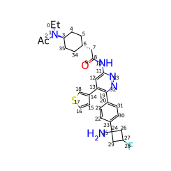 CCN(C(C)=O)[C@H]1CC[C@H](CC(=O)Nc2cc(-c3ccsc3)c(-c3ccc(C4(N)CC(F)C4)cc3)nn2)CC1